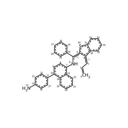 C=C/C=c1\c(=C(/Nc2ccc(-c3ccc(N)cc3)c3ccccc23)c2ccccc2)sc2ccccc12